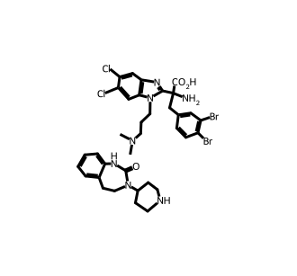 CN(C)CCCn1c(C(N)(Cc2ccc(Br)c(Br)c2)C(=O)O)nc2cc(Cl)c(Cl)cc21.O=C1Nc2ccccc2CCN1C1CCNCC1